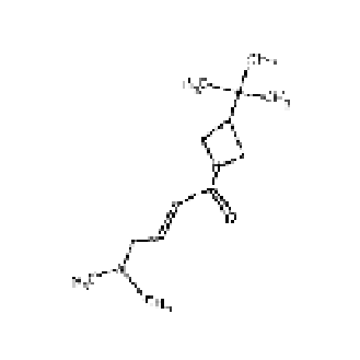 CN(C)C/C=C/C(=O)N1CC(C(C)(C)C)C1